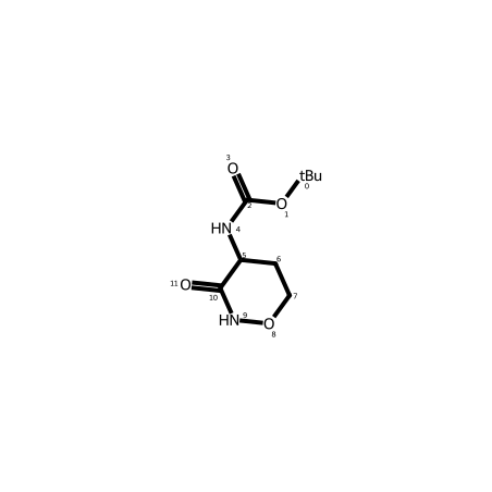 CC(C)(C)OC(=O)NC1CCONC1=O